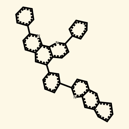 c1ccc(-c2ccc3cc(-c4cccc(-c5ccc6cc7ccccc7cc6n5)c4)c4ccc(-c5ccccc5)nc4c3n2)cc1